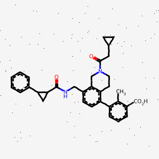 Cc1c(C(=O)O)cccc1-c1ccc(CNC(=O)C2CC2c2ccccc2)c2c1CCN(C(=O)CC1CC1)C2